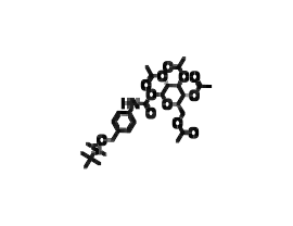 CC(=O)OC[C@H]1O[C@@H](OC(=O)Nc2ccc(CO[Si](C)(C)C(C)(C)C)cc2)[C@H](OC(C)=O)[C@@H](OC(C)=O)[C@@H]1OC(C)=O